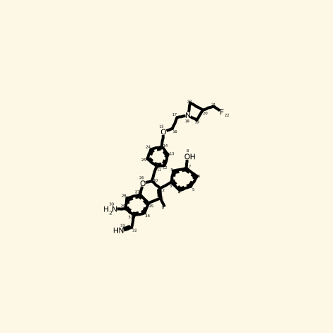 CC1=C(c2cccc(O)c2)C(c2ccc(OCCN3CC(CF)C3)cc2)Oc2cc(N)c(C=N)cc21